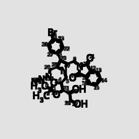 CC1(C)O[C@@H](CN2[C@H](CN3C(=O)c4ccccc4C3=O)[C@H](c3ccc(Br)cc3)[C@@H]2CN=[N+]=[N-])[C@@H](C(O)CO)O1